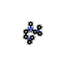 C1=C(c2nc(-c3ccccc3)nc(-c3cccc(-c4cccc(-n5c6ccccc6c6ccccc65)c4)c3)n2)CCc2c1n(-c1ccccc1)c1ccccc21